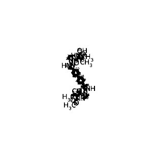 COC(=O)N[C@H](C(=O)N1CCCN1c1nc(-c2ccc(-c3ccc(-c4c[nH]c(N5CCCN5C(=O)[C@@H](NC(=O)O)C(C)C)n4)cc3)cc2)c[nH]1)C(C)C